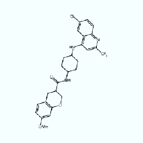 COc1ccc2c(c1)OCC(C(=O)NC1CCC(Nc3cc(C(F)(F)F)nc4ccc(Cl)cc34)CC1)C2